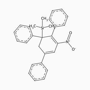 C[Si](C)(C)C1(c2ccccc2)CC(c2ccccc2)=CC([N+](=O)[O-])=C1c1ccccc1